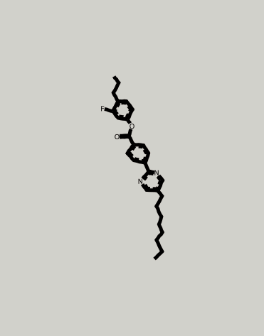 CCCCCCCCc1cnc(-c2ccc(C(=O)Oc3ccc(CCC)c(F)c3)cc2)nc1